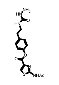 CC(=O)Nc1nc(C(=O)Oc2ccc(CCNC(=O)NN)cc2)cs1